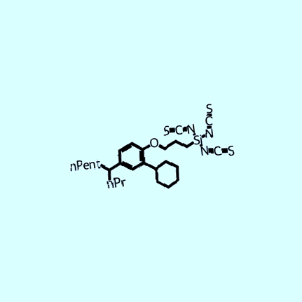 CCCCCC(CCC)c1ccc(OCCC[Si](N=C=S)(N=C=S)N=C=S)c(C2CCCCC2)c1